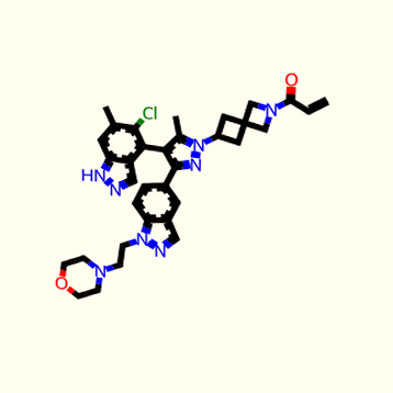 C=CC(=O)N1CC2(CC(n3nc(-c4ccc5c(cnn5CCN5CCOCC5)c4)c(-c4c(Cl)c(C)cc5[nH]ncc45)c3C)C2)C1